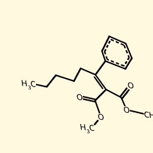 CCCCCC(=C(C(=O)OC)C(=O)OC)c1ccccc1